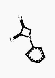 O=C1CN(c2ccccc2)C1=O